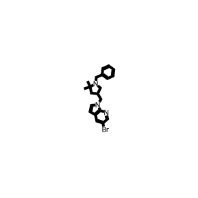 CC1(C)CC(Cn2ccc3cc(Br)cnc32)CN1Cc1ccccc1